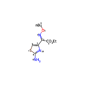 CCCCON=C(C(=O)OCC)c1csc(N)n1